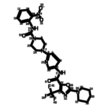 O=C(Nc1ccc(N2CCN(C(=O)Nc3ccccc3[N+](=O)[O-])CC2)nc1)c1oc(N2CCCCC2)nc1C(F)(F)F